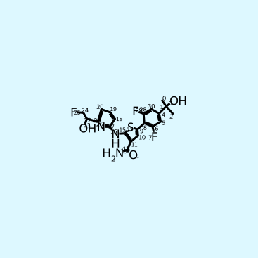 CC(C)(O)c1cc(F)c(-c2cc(C(N)=O)c(Nc3cccc(C(O)CF)n3)s2)c(F)c1